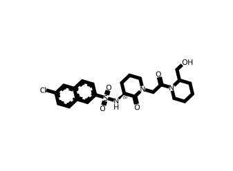 O=C1[C@@H](NS(=O)(=O)c2ccc3cc(Cl)ccc3c2)CCCN1CC(=O)N1CCCCC1CO